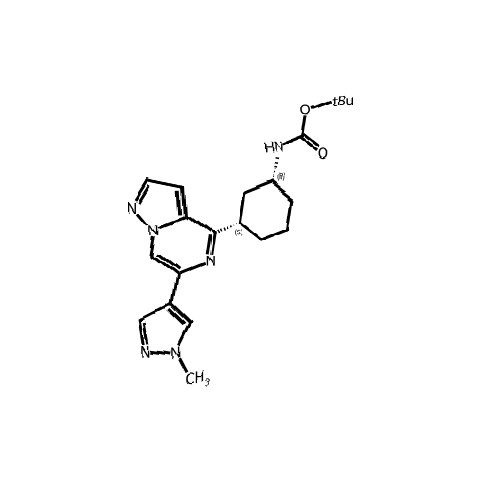 Cn1cc(-c2cn3nccc3c([C@H]3CCC[C@@H](NC(=O)OC(C)(C)C)C3)n2)cn1